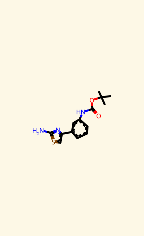 CC(C)(C)OC(=O)Nc1cccc(-c2csc(N)n2)c1